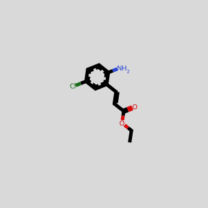 CCOC(=O)C=Cc1cc(Cl)ccc1N